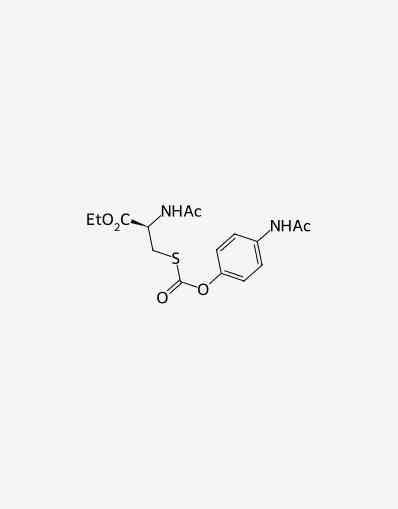 CCOC(=O)[C@H](CSC(=O)Oc1ccc(NC(C)=O)cc1)NC(C)=O